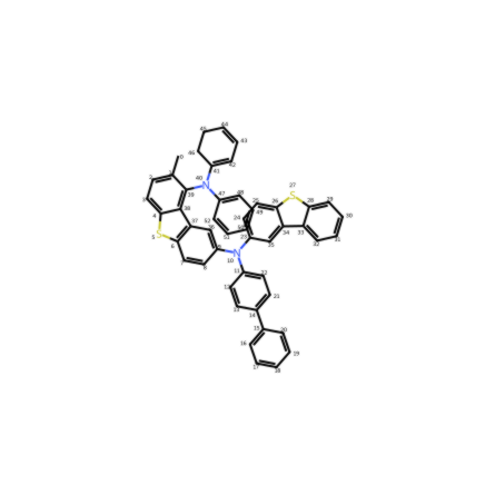 Cc1ccc2sc3ccc(N(c4ccc(-c5ccccc5)cc4)c4ccc5sc6ccccc6c5c4)cc3c2c1N(C1=CC=CCC1)c1ccccc1